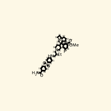 CC[C@H](CNc1ccc(S(=O)(=O)c2ccc(C(N)=O)cc2)cc1)CN1CCC([C@@](CN2CCC2)(c2cccc(F)c2)[C@H]2CCC[C@@H]2NC(=O)OC)CC1